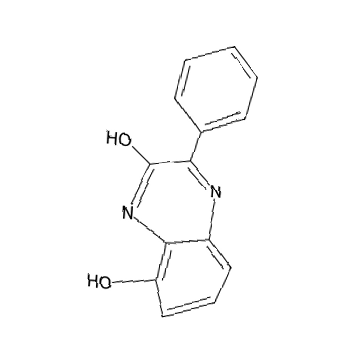 Oc1nc2c(O)cccc2nc1-c1ccccc1